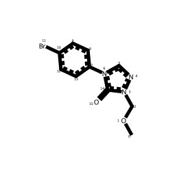 COCn1ncn(-c2ccc(Br)cc2)c1=O